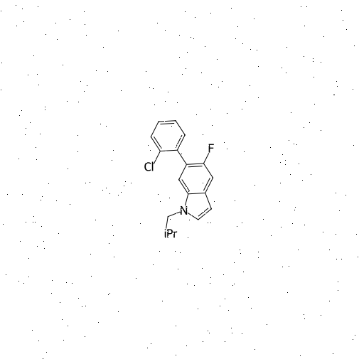 CC(C)Cn1ccc2cc(F)c(-c3ccccc3Cl)cc21